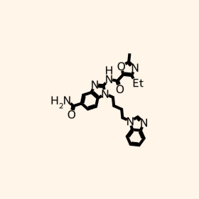 CCc1nc(C)oc1C(=O)Nc1nc2cc(C(N)=O)ccc2n1CCCCn1cnc2ccccc21